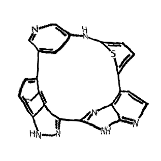 Fc1c2ccc3[nH]nc(c4nc5c(nccc5c5ccc([nH]c6cncc2c6)s5)[nH]4)c13